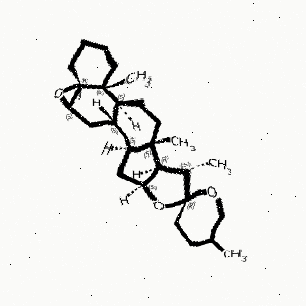 CC1CC[C@@]2(OC1)O[C@H]1C[C@H]3[C@@H]4C[C@@H]5O[C@@]56CCCC[C@]6(C)[C@H]4CC[C@]3(C)[C@H]1[C@@H]2C